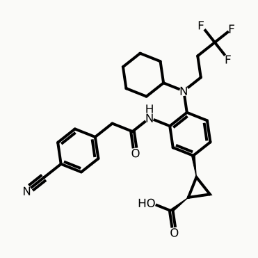 N#Cc1ccc(CC(=O)Nc2cc([C@H]3C[C@H]3C(=O)O)ccc2N(CCC(F)(F)F)C2CCCCC2)cc1